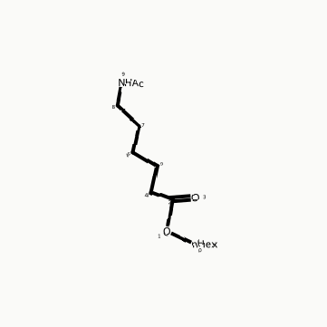 CCCCCCOC(=O)CCCCCNC(C)=O